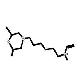 C=C[SiH](C)CCCCCCN1CC(C)OC(C)C1